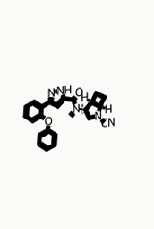 C=[N+](C(=O)c1cc(-c2ccccc2Oc2ccccc2)n[nH]1)[C@@H]1CN(C#N)[C@H]2CC[C@@H]12